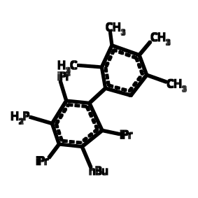 CCCCc1c(C(C)C)c(P)c(C(C)C)c(-c2cc(C)c(C)c(C)c2C)c1C(C)C